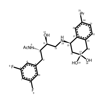 CC(=O)N[C@@H](Cc1cc(F)cc(F)c1)[C@@H](O)CN[C@@H]1CS(O)(O)Cc2ccc(C(C)C)cc21